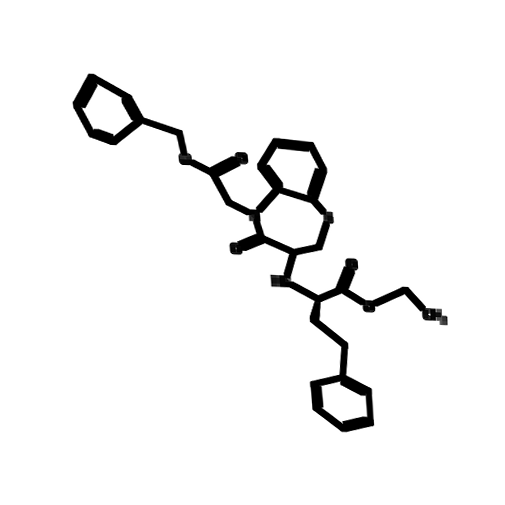 CCOC(=O)[C@@H](CCc1ccccc1)NC1CSc2ccccc2N(CC(=O)OCc2ccccc2)C1=O